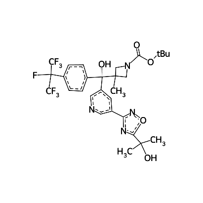 CC(C)(C)OC(=O)N1CC(C)([C@](O)(c2ccc(C(F)(C(F)(F)F)C(F)(F)F)cc2)c2cncc(-c3noc(C(C)(C)O)n3)c2)C1